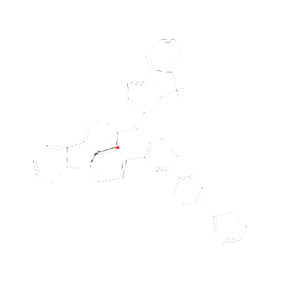 Cc1cccc(C)c1-c1cc(-c2ccc(-c3ccccc3)cc2)ccc1N(c1ccc2c(c1)C(C)(C)c1ccccc1-2)c1ccc2c(c1)sc1ccccc12